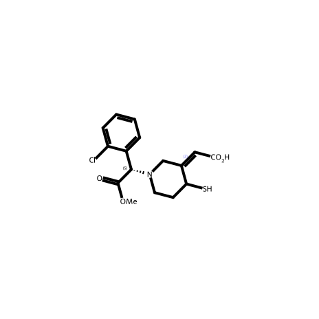 COC(=O)[C@H](c1ccccc1Cl)N1CCC(S)/C(=C\C(=O)O)C1